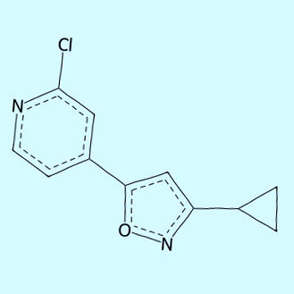 Clc1cc(-c2cc(C3CC3)no2)ccn1